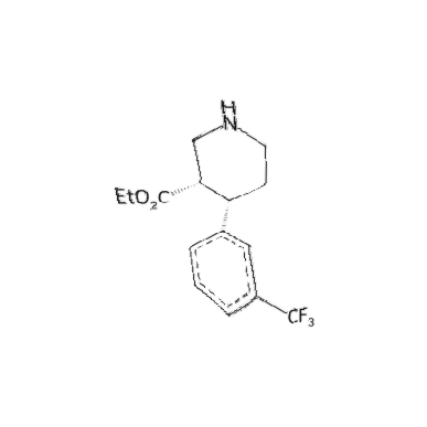 CCOC(=O)[C@@H]1CNCC[C@@H]1c1cccc(C(F)(F)F)c1